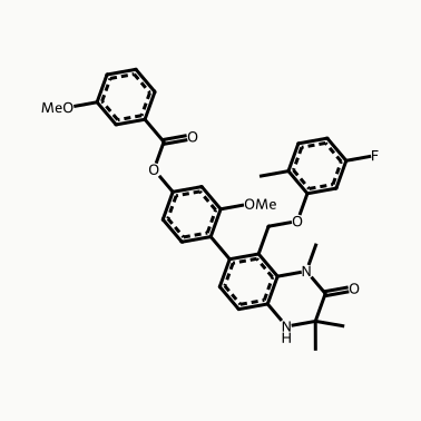 COc1cccc(C(=O)Oc2ccc(-c3ccc4c(c3COc3cc(F)ccc3C)N(C)C(=O)C(C)(C)N4)c(OC)c2)c1